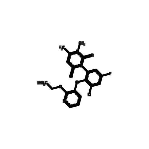 CCOC(=O)COc1ncccc1Oc1c(Cl)cc(F)cc1-n1c(=O)cc(C(F)(F)F)n(C)c1=O